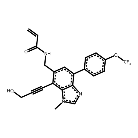 C=CC(=O)NCc1cc(-c2ccc(OC(F)(F)F)cc2)c2ncn(C)c2c1C#CCO